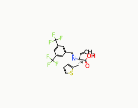 C=C[C@](Cc1cccs1)(N=Cc1cc(C(F)(F)F)cc(C(F)(F)F)c1)C(=O)O